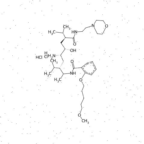 COCCCCCOc1ccccc1C(=O)NC(C)[C@@H](C[C@H](N)[C@@H](O)C[C@H](C(=O)NCCN1CCOCC1)C(C)C)C(C)C.Cl.Cl